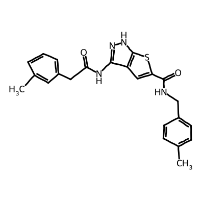 Cc1ccc(CNC(=O)c2cc3c(NC(=O)Cc4cccc(C)c4)n[nH]c3s2)cc1